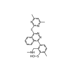 CNCc1c(-c2nnc(Sc3nc(C)cc(C)n3)c3ccccc23)ccc(C)c1SO